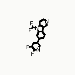 Fc1cc(-c2ccc3c4cnccc4n(C(F)F)c3c2)cnc1F